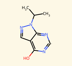 CC(C)n1ncc2c(O)n[c]nc21